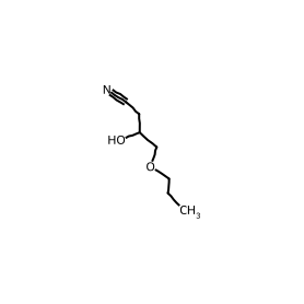 CCCOCC(O)CC#N